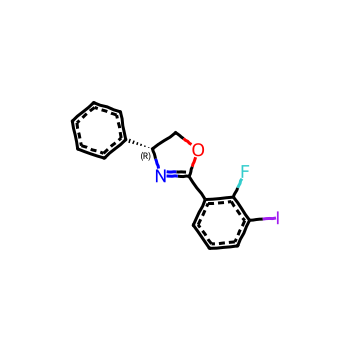 Fc1c(I)cccc1C1=N[C@H](c2ccccc2)CO1